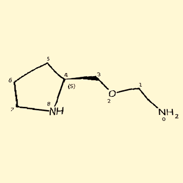 NCOC[C@@H]1CCCN1